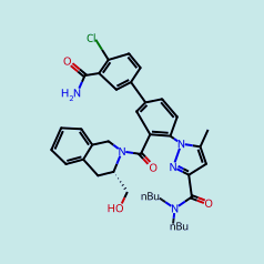 CCCCN(CCCC)C(=O)c1cc(C)n(-c2ccc(-c3ccc(Cl)c(C(N)=O)c3)cc2C(=O)N2Cc3ccccc3C[C@H]2CO)n1